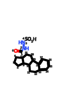 O=C(NNS(=O)(=O)O)[C@@]12CCCC1C1CCc3ccccc3C1CC2